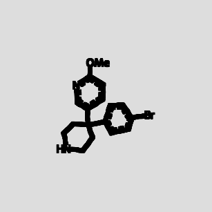 COc1ccc(C2(c3ccc(Br)cc3)CCNCC2)cn1